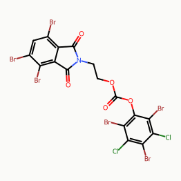 O=C(OCCN1C(=O)c2c(Br)cc(Br)c(Br)c2C1=O)Oc1c(Br)c(Cl)c(Br)c(Cl)c1Br